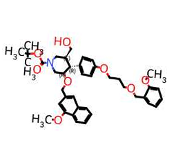 COc1ccccc1COCCCOc1ccc([C@H]2[C@H](CO)CN(C(=O)OC(C)(C)C)C[C@@H]2OCc2cc(OC)c3ccccc3c2)cc1